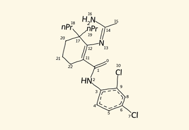 C=C(Nc1ccc(Cl)cc1Cl)C1=C(/N=C(/C)N)C(CCC)(CCC)CCC1